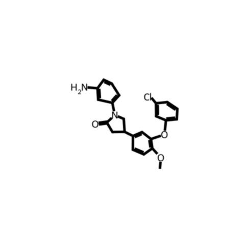 COc1ccc(C2CC(=O)N(c3cccc(N)c3)C2)cc1Oc1cccc(Cl)c1